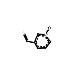 [O-][n+]1cccc(C=S)c1